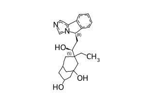 CCC1([C@@H](O)C[C@@H]2c3ccccc3-c3cncn32)CC2CC(O)CC(O)(C2)C1